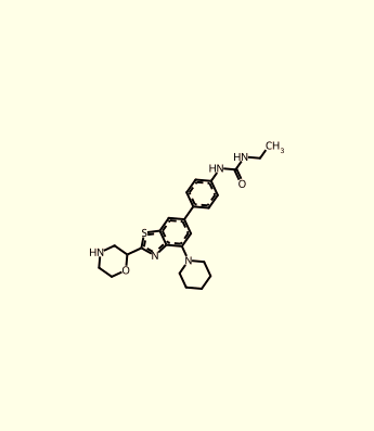 CCNC(=O)Nc1ccc(-c2cc(N3CCCCC3)c3nc(C4CNCCO4)sc3c2)cc1